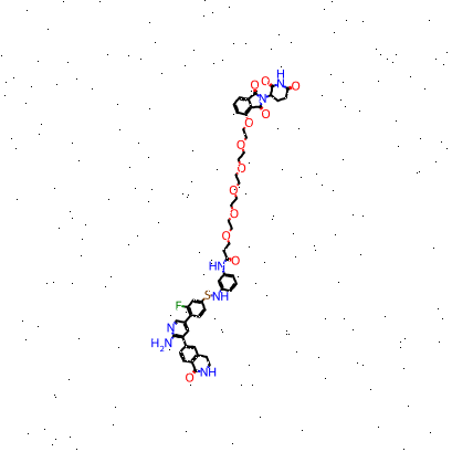 Nc1ncc(-c2ccc(SNc3cccc(NC(=O)CCOCCOCCOCCOCCOCCOc4cccc5c4C(=O)N(C4CCC(=O)NC4=O)C5=O)c3)cc2F)cc1-c1ccc2c(c1)CCNC2=O